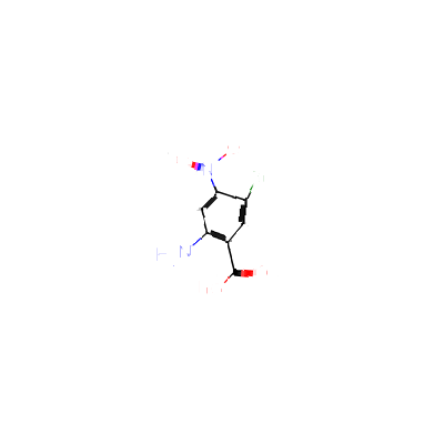 Nc1cc([N+](=O)[O-])c(Br)cc1C(=O)O